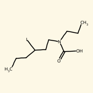 CCCC(I)CCN(CCC)C(=O)O